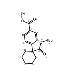 CC(C)OC(=O)c1ccc(C2(C(=O)OC(C)(C)C)CCCCC2)cc1